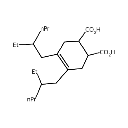 CCCC(CC)CC1=C(CC(CC)CCC)CC(C(=O)O)C(C(=O)O)C1